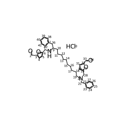 Cl.O=Cc1ccc(CNC(CCCCCCCCCCN(Cc2ccccc2)Cc2ccc(C=O)o2)Cc2ccccc2)o1